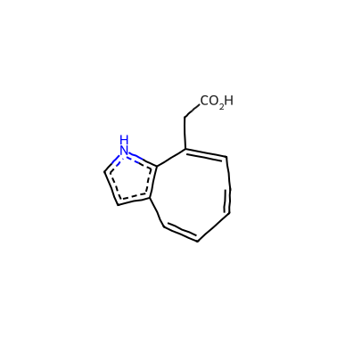 O=C(O)CC1=CC=CC=Cc2cc[nH]c21